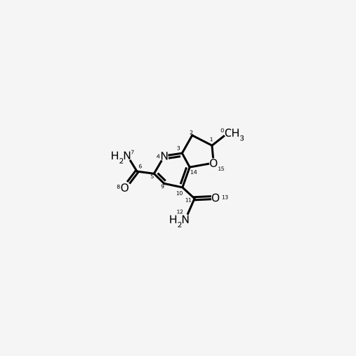 CC1Cc2nc(C(N)=O)cc(C(N)=O)c2O1